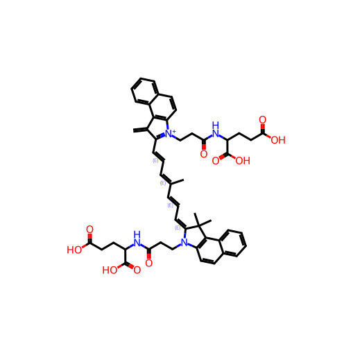 C=C1C(/C=C/C=C(C)/C=C/C=C2/N(CCC(=O)NC(CCC(=O)O)C(=O)O)c3ccc4ccccc4c3C2(C)C)=[N+](CCC(=O)NC(CCC(=O)O)C(=O)O)c2ccc3ccccc3c21